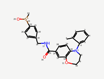 Cc1ccccc1N1CCCOc2cc(C(=O)NCc3ccc([S+](C)[O-])cc3)ccc21